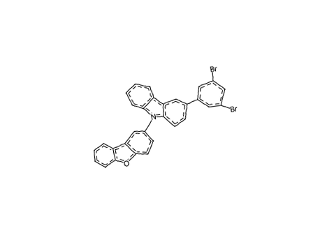 Brc1cc(Br)cc(-c2ccc3c(c2)c2ccccc2n3-c2ccc3oc4ccccc4c3c2)c1